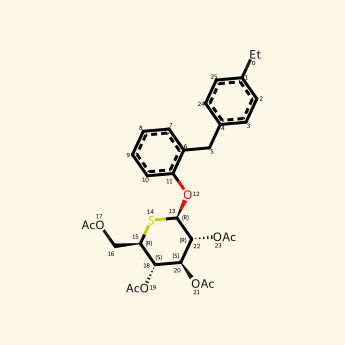 CCc1ccc(Cc2ccccc2O[C@@H]2S[C@H](COC(C)=O)[C@@H](OC(C)=O)[C@H](OC(C)=O)[C@H]2OC(C)=O)cc1